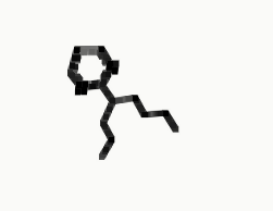 CCCCC(CCC)c1ncccn1